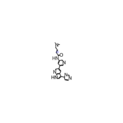 CN(C)C/C=C/C(=O)Nc1cncc(-c2cnc3[nH]cc(-c4ccncn4)c3c2)c1